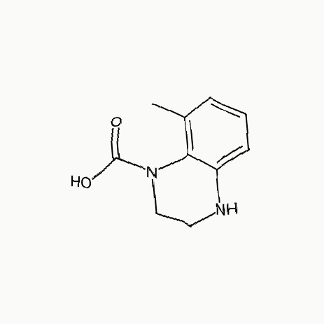 Cc1cccc2c1N(C(=O)O)CCN2